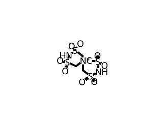 O=S1(=O)C[N+]2(CS(=O)(=O)N1)CS(=O)(=O)NS(=O)(=O)C2